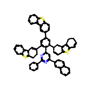 C1=Cc2sc3c(c2CC1)CC(c1cc(-c2ccc4sc5ccccc5c4c2)cc(C2=Cc4c(sc5ccccc45)CC2)c1-c1cc(-c2ccc4ccccc4c2)nc(-c2ccccc2)n1)C=C3